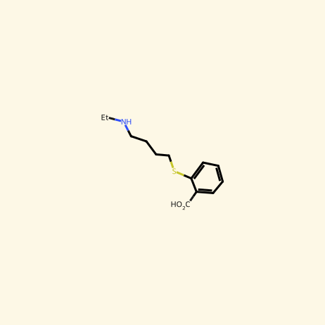 CCNCCCCSc1ccccc1C(=O)O